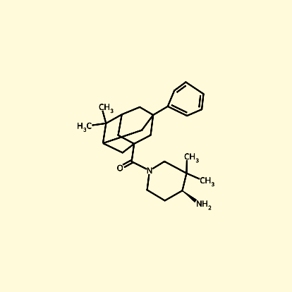 CC1(C)C2CC3(C(=O)N4CC[C@H](N)C(C)(C)C4)CC1CC(c1ccccc1)(C2)C3